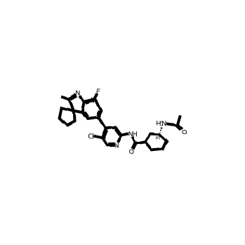 CC(=O)N[C@@H]1CCCC(C(=O)Nc2cc(-c3cc(F)c4c(c3)C3(CCCC3)C(C)=N4)c(Cl)cn2)C1